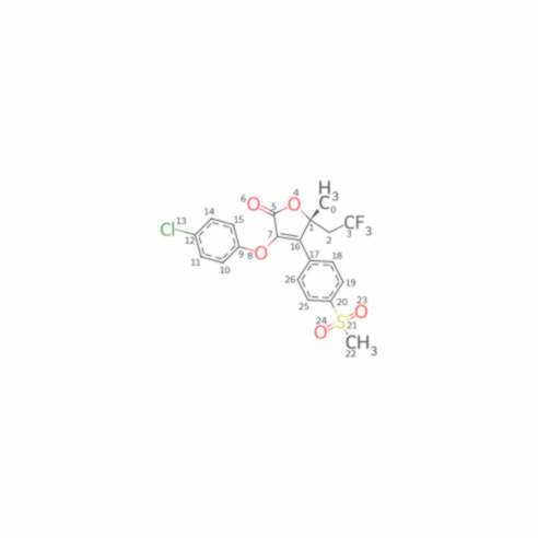 C[C@]1(CC(F)(F)F)OC(=O)C(Oc2ccc(Cl)cc2)=C1c1ccc(S(C)(=O)=O)cc1